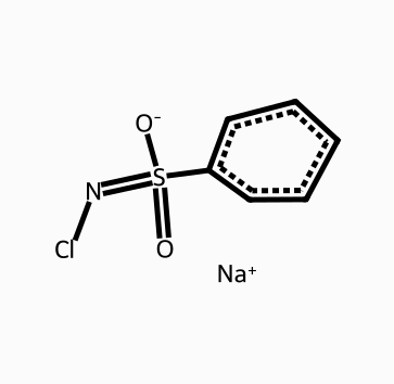 O=S([O-])(=NCl)c1ccccc1.[Na+]